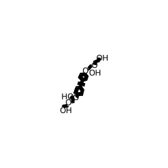 CC(C)(c1ccc(OC(O)COCCO)cc1)c1ccc(OC(O)COCCO)cc1